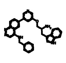 NC(COc1cncc(-c2ccc3nncc(NCc4ccccc4)c3c2)c1)Cc1c[nH]c2ccccc12